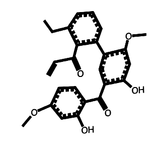 C=CC(=O)c1c(CC)cccc1-c1cc(C(=O)c2ccc(OC)cc2O)c(O)cc1OC